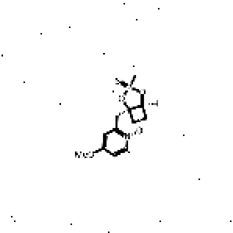 COc1cc[n+]([O-])c(C[C@@]23CC[C@@H]2OP(C)(=S)O3)c1